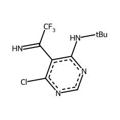 CC(C)(C)Nc1ncnc(Cl)c1C(=N)C(F)(F)F